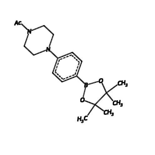 CC(=O)N1CCN(c2ccc(B3OC(C)(C)C(C)(C)O3)cc2)CC1